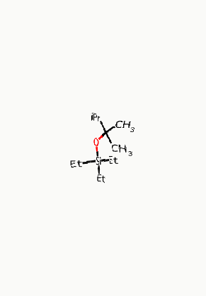 CC[Si](CC)(CC)OC(C)(C)C(C)C